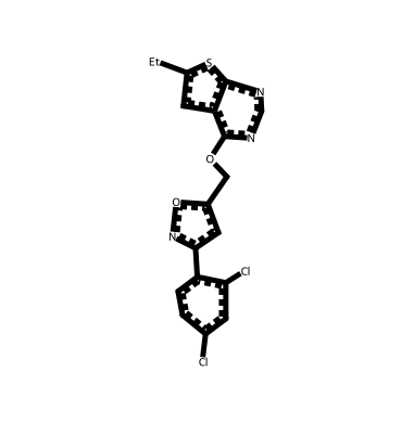 CCc1cc2c(OCc3cc(-c4ccc(Cl)cc4Cl)no3)ncnc2s1